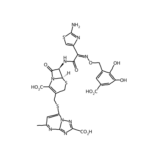 Cc1cc(SCC2=C(C(=O)O)N3C(=O)[C@@H](NC(=O)/C(=N\OCc4cc(C(=O)O)cc(O)c4O)c4csc(N)n4)[C@H]3SC2)n2nc(C(=O)O)nc2n1